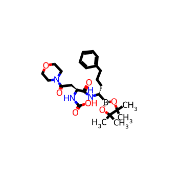 CC1(C)OB([C@@H](CCCc2ccccc2)NC(=O)[C@H](CC(=O)N2CCOCC2)NC(=O)O)OC1(C)C